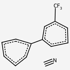 C#N.FC(F)(F)c1cccc(-c2ccccc2)c1